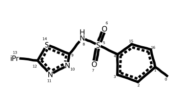 Cc1ccc(S(=O)(=O)Nc2nnc(C(C)C)s2)cc1